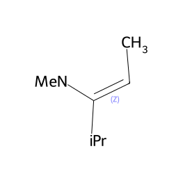 C/C=C(\NC)C(C)C